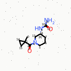 CC1(C(=O)N2CCC[C@@H](NC(N)=O)C2)CC1